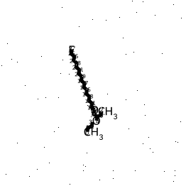 CCCCOC(CC)COCCCCCCCCCCCCCCCCCF